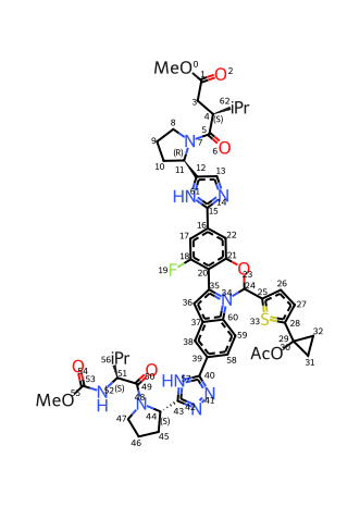 COC(=O)C[C@H](C(=O)N1CCC[C@@H]1c1cnc(-c2cc(F)c3c(c2)OC(c2ccc(C4(OC(C)=O)CC4)s2)n2c-3cc3cc(-c4nnc([C@@H]5CCCN5C(=O)[C@@H](NC(=O)OC)C(C)C)[nH]4)ccc32)[nH]1)C(C)C